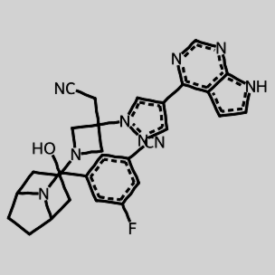 N#CCC1(n2cc(-c3ncnc4[nH]ccc34)cn2)CN(C2CC3CCC(C2)N3C(O)c2cc(F)cc(C#N)c2)C1